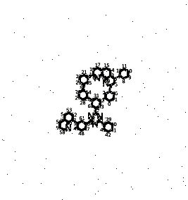 c1ccc(-c2cc(-c3ccccc3)c3ccc4ccc(-c5cccc(-c6cccc(-c7cccc(-c8nc(-c9ccccc9)nc(-c9cccc(-c%10cccc%11cccnc%10%11)c9)n8)c7)c6)c5)nc4c3n2)cc1